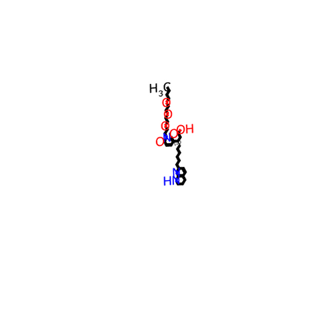 CCCCOCCOCCOCCn1cc([C@@H](CCCCCCc2ccc3c(n2)NCCC3)CC(=O)O)ccc1=O